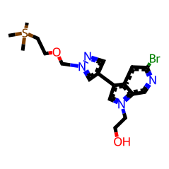 CS(C)(C)CCOCn1cc(-c2cn(CCO)c3cnc(Br)cc23)cn1